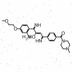 COCCOc1ccc(C(=N)/C(O)=C/C(=N)c2ccc(C(=O)N3CCN(C)CC3)cc2)c(N)c1